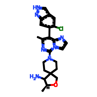 Cc1nc(N2CCC3(CC2)CO[C@@H](C)C3N)n2ccnc2c1-c1cc2n[nH]cc2cc1Cl